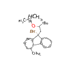 CC(=O)Oc1cccc2c1-c1ccccc1C2(Br)CC(O[SiH](C)C)C(C)(C)C